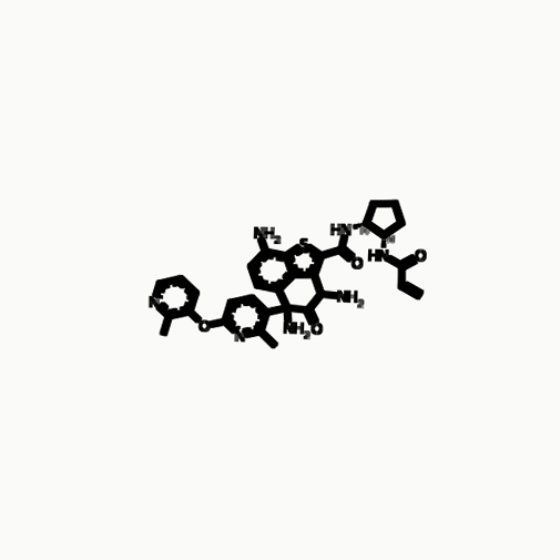 C=CC(=O)N[C@H]1CCC[C@H]1NC(=O)c1sc2c(N)ccc3c2c1C(N)C(=O)C3(N)c1ccc(Oc2cccnc2C)nc1C